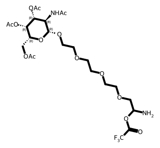 CC(=O)N[C@H]1[C@H](OCCOCCOCCOCC(N)OC(=O)C(F)(F)F)O[C@H](COC(C)=O)[C@H](OC(C)=O)[C@@H]1OC(C)=O